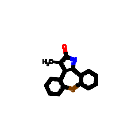 Cc1c2c3ccccc3sc3ccccc3c-2nc1=O